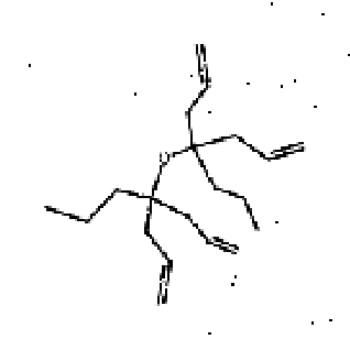 C=CCC(CC=C)(CCC)OC(CC=C)(CC=C)CCC